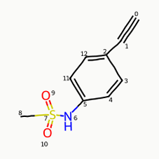 C#Cc1ccc(NS(C)(=O)=O)cc1